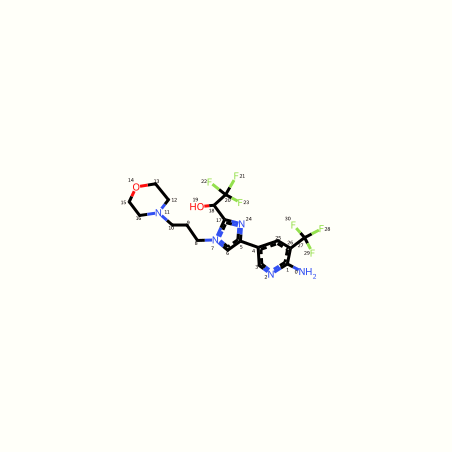 Nc1ncc(-c2cn(CCCN3CCOCC3)c(C(O)C(F)(F)F)n2)cc1C(F)(F)F